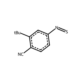 CC(C)(C)c1cc(N=S)ccc1C#N